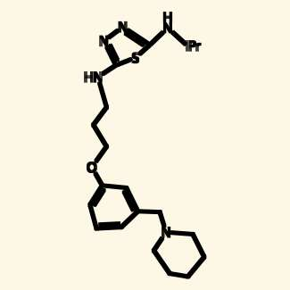 CC(C)Nc1nnc(NCCCOc2cccc(CN3CCCCC3)c2)s1